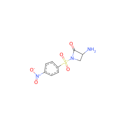 NC1CN(S(=O)(=O)c2ccc([N+](=O)[O-])cc2)C1=O